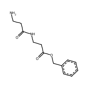 NCCC(=O)NCCC(=O)OCc1ccccc1